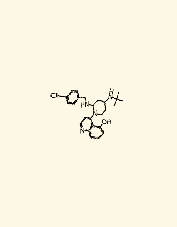 CC(C)(C)NC1CCN(c2ccnc3cccc(O)c23)C(NCc2ccc(Cl)cc2)C1